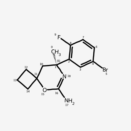 C[C@@]1(c2cc(Br)ccc2F)CC2(CCC2)OC(N)=N1